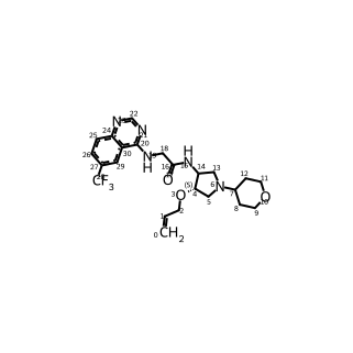 C=CCO[C@H]1CN(C2CCOCC2)CC1NC(=O)CNc1ncnc2ccc(C(F)(F)F)cc12